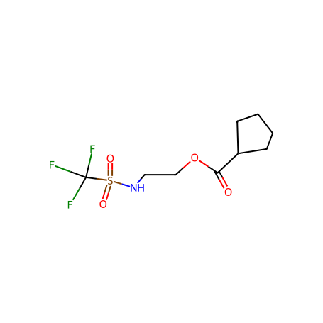 O=C(OCCNS(=O)(=O)C(F)(F)F)C1CCCC1